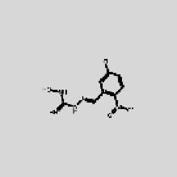 N=C(NO)N/N=C/c1cc(Cl)ccc1[N+](=O)[O-]